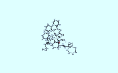 NC(=O)[C@@H]1[C@H]2C(=O)O[C@H](c3ccccc3)[C@H](c3ccccc3)N2[C@H](c2ccccc2OCCO)[C@@]12C(=O)Nc1ccc(C#CC3(O)CCCCCC3)cc12